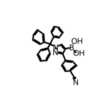 N#Cc1ccc(-c2nn(C(c3ccccc3)(c3ccccc3)c3ccccc3)cc2B(O)O)cc1